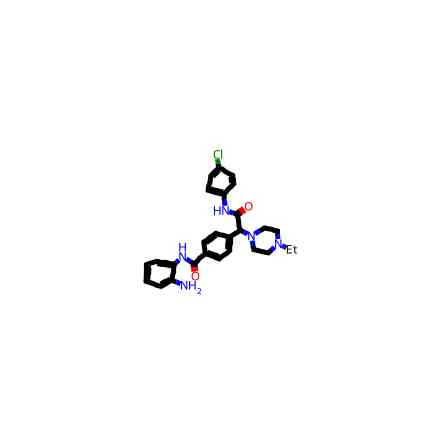 CCN1CCN(C(C(=O)Nc2ccc(Cl)cc2)c2ccc(C(=O)Nc3ccccc3N)cc2)CC1